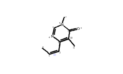 C/C=C\c1ncn(C)c(=O)c1C